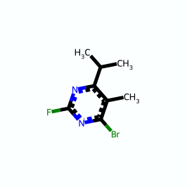 Cc1c(Br)nc(F)nc1C(C)C